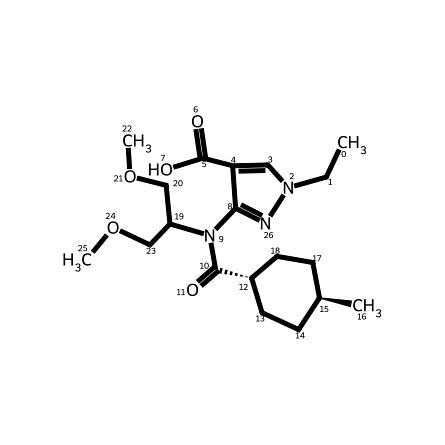 CCn1cc(C(=O)O)c(N(C(=O)[C@H]2CC[C@H](C)CC2)C(COC)COC)n1